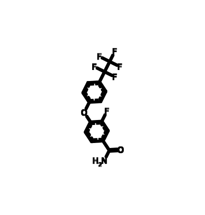 NC(=O)c1ccc(Oc2ccc(C(F)(F)C(F)(F)F)cc2)c(F)c1